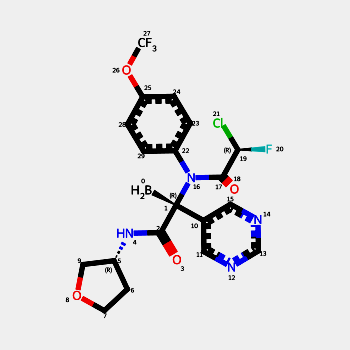 B[C@](C(=O)N[C@@H]1CCOC1)(c1cncnc1)N(C(=O)[C@H](F)Cl)c1ccc(OC(F)(F)F)cc1